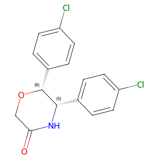 O=C1CO[C@H](c2ccc(Cl)cc2)[C@H](c2ccc(Cl)cc2)N1